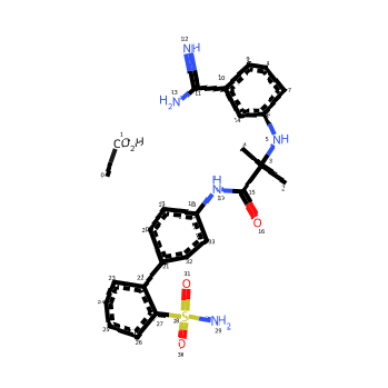 CC(=O)O.CC(C)(Nc1cccc(C(=N)N)c1)C(=O)Nc1ccc(-c2ccccc2S(N)(=O)=O)cc1